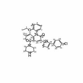 CCOc1ncccc1-n1c(C=C(C)C)c(C(=O)N2CCNCC2)cc(-c2nc(-c3ccc(Cl)cc3)cs2)c1=O